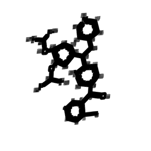 Cc1ccccc1C(=O)c1ccc(C(Cc2ccncc2)c2ccc(OC(F)F)c(OC(F)F)c2)nc1